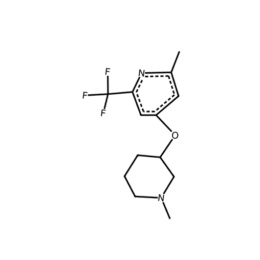 Cc1cc(OC2CCCN(C)C2)cc(C(F)(F)F)n1